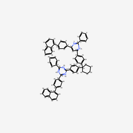 c1ccc(-c2nc(-c3ccc(-c4cccc5ccccc45)cc3)cc(-c3ccc(C4(c5ccc(-c6nc(-c7ccccc7)nc(-c7ccc(-c8cccc9ccccc89)cc7)n6)cc5)CCCCC4)cc3)n2)cc1